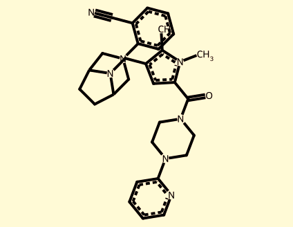 Cc1c(CN2C3CCC2CN(c2ccccc2C#N)C3)cc(C(=O)N2CCN(c3ccccn3)CC2)n1C